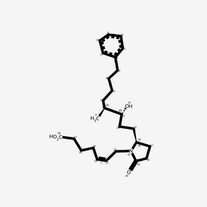 C[C@@H](CCCCc1ccccc1)[C@H](O)CC[C@H]1CCC(=O)N1C/C=C\CCCC(=O)O